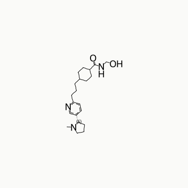 CN1CCC[C@H]1c1ccc(CCCC2CCC(C(=O)NCO)CC2)nc1